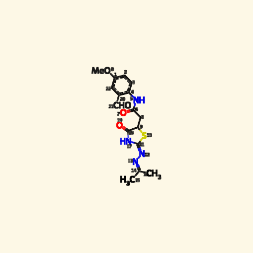 COc1ccc(NC(=O)CC2SC(=NN=C(C)C)NC2=O)c(C=O)c1